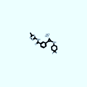 Cc1nnc(NC(=O)c2cccc(C3CC3NC3CCC(F)(F)CC3)c2)s1.Cl.Cl